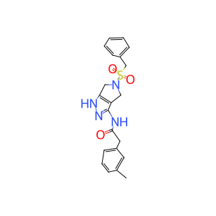 Cc1cccc(CC(=O)Nc2n[nH]c3c2CN(S(=O)(=O)Cc2ccccc2)C3)c1